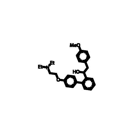 CCN(CC)CCOc1ccc(-c2ccccc2C(O)Cc2ccc(OC)cc2)cc1